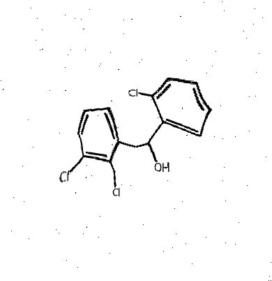 OC(c1ccccc1Cl)c1cccc(Cl)c1Cl